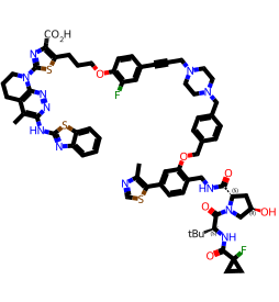 Cc1ncsc1-c1ccc(CNC(=O)[C@@H]2C[C@@H](O)CN2C(=O)[C@@H](NC(=O)C2(F)CC2)C(C)(C)C)c(OCc2ccc(CN3CCN(CC#Cc4ccc(OCCCc5sc(N6CCCc7c6nnc(Nc6nc8ccccc8s6)c7C)nc5C(=O)O)c(F)c4)CC3)cc2)c1